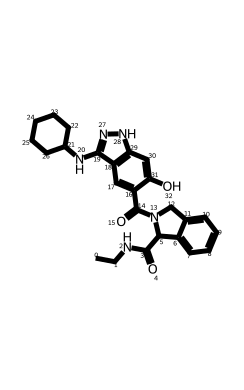 CCNC(=O)C1c2ccccc2CN1C(=O)c1cc2c(NC3CCCCC3)n[nH]c2cc1O